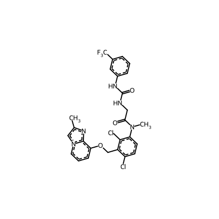 Cc1cn2cccc(OCc3c(Cl)ccc(N(C)C(=O)CNC(=O)Nc4cccc(C(F)(F)F)c4)c3Cl)c2n1